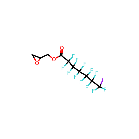 O=C(OCC1CO1)C(F)(F)C(F)(F)C(F)(F)C(F)(F)C(F)(F)C(F)(F)I